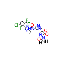 CCc1ncc(-c2c(C(F)F)ccc(Cl)c2F)nc1C(=O)Nc1cnn(Cc2cnc(N3C[C@H]4C[C@H]4C3=O)c3c2OCO3)c1